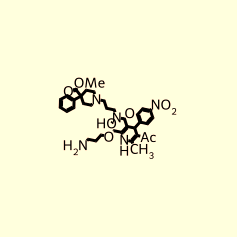 COC(=O)C1(c2ccccc2)CCN(CCCN(O)C(=O)C2=C(COCCCN)NC(C)=C(C(C)=O)C2c2ccc([N+](=O)[O-])cc2)CC1